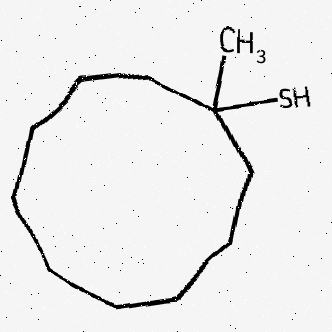 CC1(S)CCCCCCCCC1